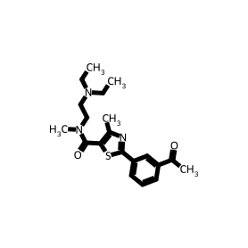 CCN(CC)CCN(C)C(=O)c1sc(-c2cccc(C(C)=O)c2)nc1C